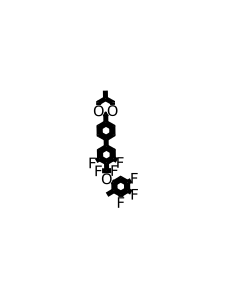 Cc1c(OC(F)(F)c2c(F)cc(-c3ccc(C4OCC(C)CO4)cc3)cc2F)cc(F)c(F)c1F